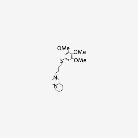 COc1cc(SCCCCN2CCN3CCCCC3C2)cc(OC)c1OC